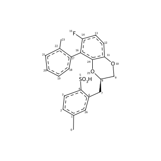 Cc1ccc(S(=O)(=O)O)c(C[C@@H]2COc3ccc(F)c(-c4ccccc4C)c3O2)c1